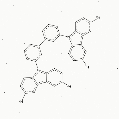 [2H]c1ccc2c(c1)c1cc([2H])ccc1n2-c1cccc(-c2cccc(-n3c4ccc([2H])cc4c4cc([2H])ccc43)c2)c1